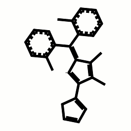 CC1=C(C)C(=C(c2ccccc2C)c2ccccc2C)[C]=C1C1=CC=CC1